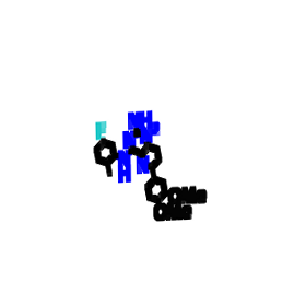 COc1ccc(-c2ccc3nc(N)nc(Nc4cc(F)ccc4C)c3n2)cc1OC